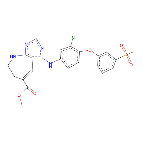 COC(=O)C1=Cc2c(ncnc2Nc2ccc(Oc3cccc(S(C)(=O)=O)c3)c(Cl)c2)NCC1